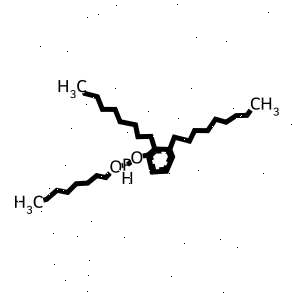 CCCCCCCCCc1cccc(OPOCCCCCCCC)c1CCCCCCCCC